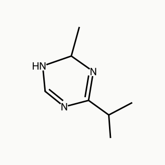 CC1N=C(C(C)C)N=CN1